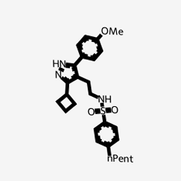 CCCCCc1ccc(S(=O)(=O)NCCc2c(C3CCC3)n[nH]c2-c2ccc(OC)cc2)cc1